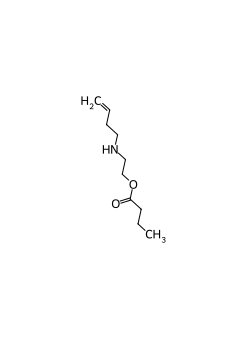 C=CCCNCCOC(=O)CCC